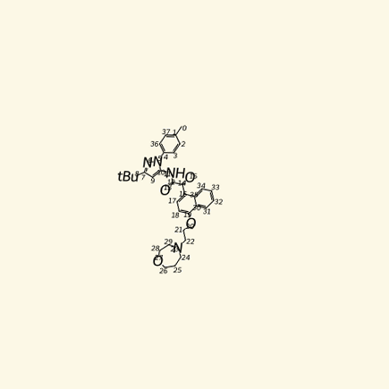 Cc1ccc(-n2nc(C(C)(C)C)cc2NC(=O)C(=O)c2ccc(OCCN3CCCOCC3)c3ccccc23)cc1